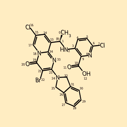 C[C@@H](Nc1ccc(Cl)nc1C(=O)O)c1cc(Cl)cn2c(=O)c(Br)c(N3Cc4ccccc4C3)nc12